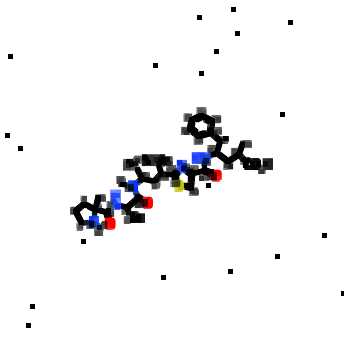 CCC(C)C(NC(=O)[C@@]1(C)CCCN1C)C(=O)N(C)C(CC(NC(C)=O)c1nc(C(=O)NC(Cc2ccccc2)CC(C)C(=O)O)cs1)C(C)C